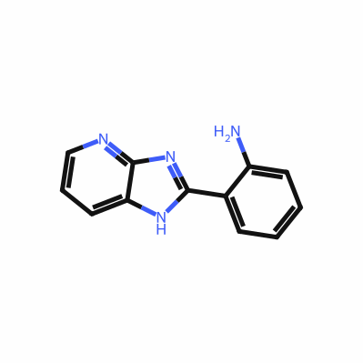 Nc1ccccc1-c1nc2ncccc2[nH]1